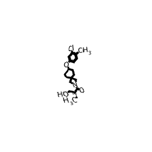 CC[C@H](CO)C(=O)N1CC2(CCC(Oc3ccc(C)c(Cl)c3)CC2)C1